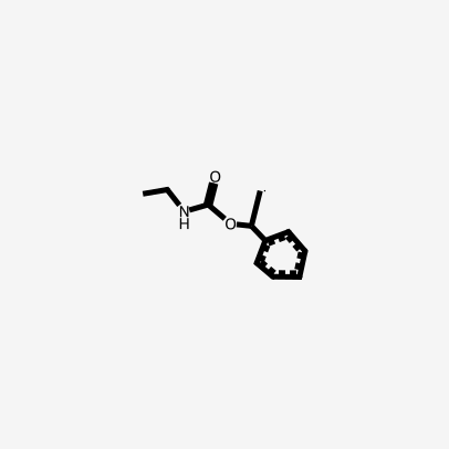 [CH2]C(OC(=O)NCC)c1ccccc1